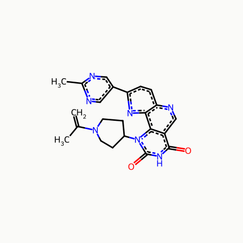 C=C(C)N1CCC(n2c(=O)[nH]c(=O)c3cnc4ccc(-c5cnc(C)nc5)nc4c32)CC1